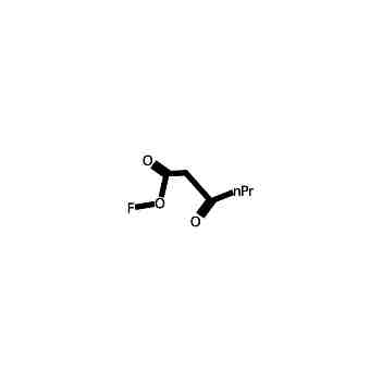 CCCC(=O)CC(=O)OF